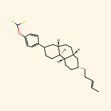 C/C=C/CC[C@@H]1CC[C@H]2[C@H](CC[C@H]3CC(c4ccc(OC(F)F)cc4)CC[C@@H]32)C1